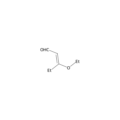 CCOC(=CC=O)CC